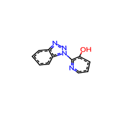 Oc1cccnc1-n1nnc2ccccc21